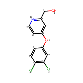 OCc1cc(Oc2ccc(Cl)c(Cl)c2)ccn1